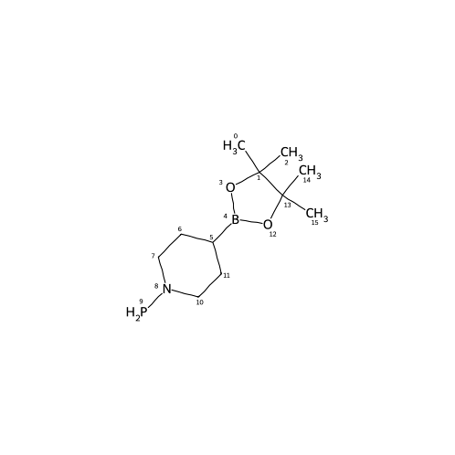 CC1(C)OB(C2CCN(P)CC2)OC1(C)C